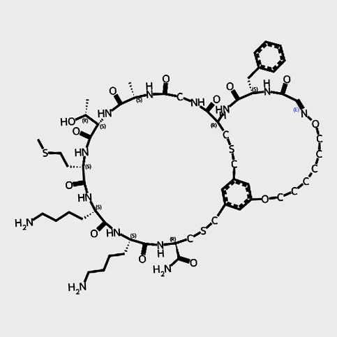 CSCC[C@@H]1NC(=O)[C@H]([C@@H](C)O)NC(=O)[C@H](C)NC(=O)CNC(=O)[C@@H]2CSCc3cc(cc(c3)OCCCCCCO/N=C/C(=O)N[C@@H](Cc3ccccc3)C(=O)N2)CSC[C@@H](C(N)=O)NC(=O)[C@H](CCCCN)NC(=O)[C@H](CCCCN)NC1=O